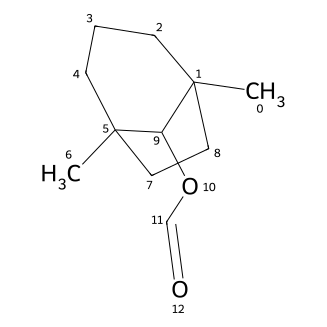 CC12CCCC(C)(CC1)C2OC=O